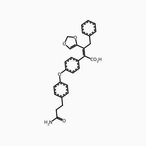 NC(=O)CCc1ccc(Oc2ccc(C(C(=O)O)=C(Cc3ccccc3)C3=COCO3)cc2)cc1